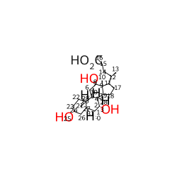 C[C@H]1[C@@H](O)[C@@H]2[C@H](C[C@H](O)[C@]3(C)[C@@H]([C@H](C)CCC(=O)O)CC[C@@H]23)[C@@]2(C)CC[C@@H](O)C[C@@H]12